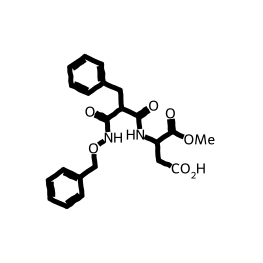 COC(=O)C(CC(=O)O)NC(=O)C(Cc1ccccc1)C(=O)NOCc1ccccc1